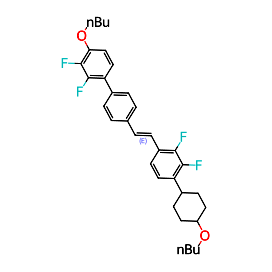 CCCCOc1ccc(-c2ccc(/C=C/c3ccc(C4CCC(OCCCC)CC4)c(F)c3F)cc2)c(F)c1F